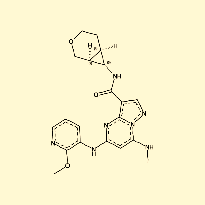 CNc1cc(Nc2cccnc2OC)nc2c(C(=O)N[C@H]3[C@@H]4CCOC[C@@H]43)cnn12